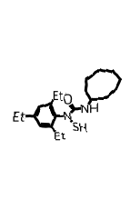 CCc1cc(CC)c(N(S)C(=O)NC2CCCCCCC2)c(CC)c1